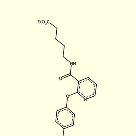 CCOC(=O)CCCCNC(=O)c1cccnc1Oc1ccc(F)cc1